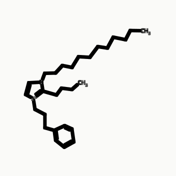 CCCCCCCCCCCCn1cc[n+](CCCc2ccccc2)c1CCCC